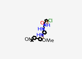 COc1ccc(-c2cccc(C(C)(C)N=O)c2)cc1SNc1cccc(NCCNC(=O)c2ccc(Cl)s2)c1